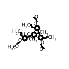 C=CCc1cc(C(C)(C)c2ccc(C(C)(c3ccc(OCC4CO4)c(CC=C)c3)c3ccc(OCC4CO4)c(CC=C)c3)cc2)ccc1OCCOC